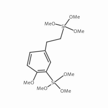 COc1ccc(CC[Si](OC)(OC)OC)cc1[Si](OC)(OC)OC